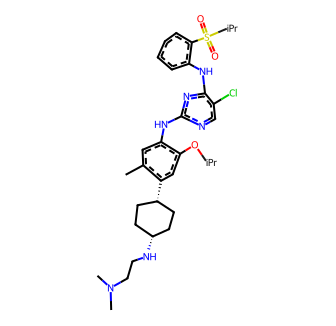 Cc1cc(Nc2ncc(Cl)c(Nc3ccccc3S(=O)(=O)C(C)C)n2)c(OC(C)C)cc1[C@H]1CC[C@@H](NCCN(C)C)CC1